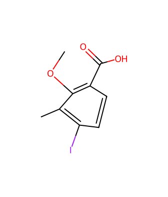 COc1c(C(=O)O)ccc(I)c1C